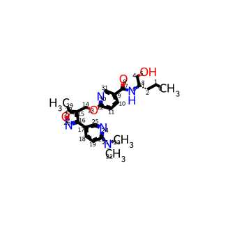 CCC[C@@H](CO)NC(=O)c1ccc(OCc2c(-c3ccc(N(C)C)nc3)noc2C)nc1